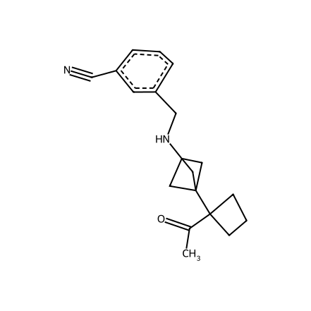 CC(=O)C1(C23CC(NCc4cccc(C#N)c4)(C2)C3)CCC1